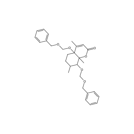 CC1=CC(=O)OC2(C)C(OCOCc3ccccc3)C(C)CCC12OCOCc1ccccc1